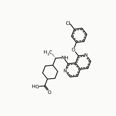 C[C@H](Nc1nccc2ccnc(Oc3cccc(Cl)c3)c12)C1CCC(C(=O)O)CC1